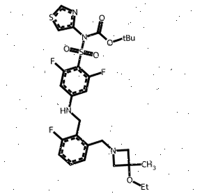 CCOC1(C)CN(Cc2cccc(F)c2CNc2cc(F)c(S(=O)(=O)N(C(=O)OC(C)(C)C)c3cscn3)c(F)c2)C1